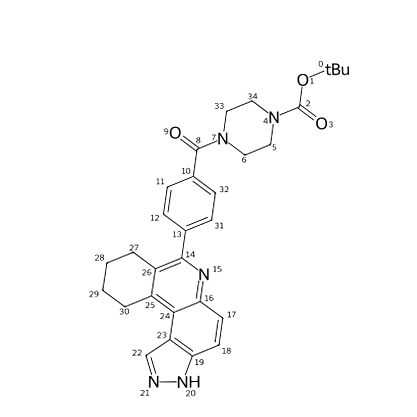 CC(C)(C)OC(=O)N1CCN(C(=O)c2ccc(-c3nc4ccc5[nH]ncc5c4c4c3CCCC4)cc2)CC1